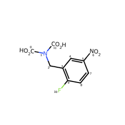 O=C(O)N(Cc1cc([N+](=O)[O-])ccc1F)C(=O)O